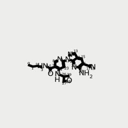 CCCCNC(=O)c1cnc(-n2ncc3cc(C#N)c(N)nc32)cc1NC1COC1